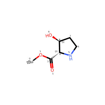 CC(C)(C)OC(=O)[C@H]1NCC[C@@H]1O